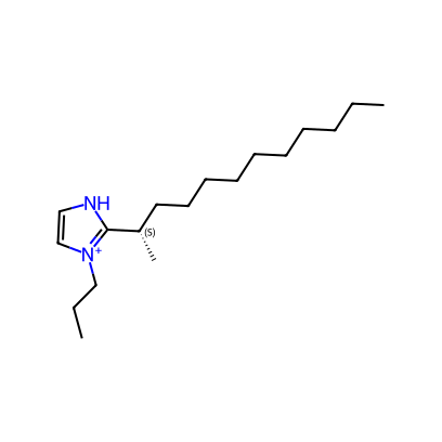 CCCCCCCCCC[C@H](C)c1[nH]cc[n+]1CCC